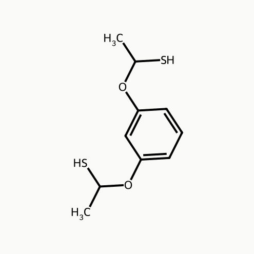 CC(S)Oc1cccc(OC(C)S)c1